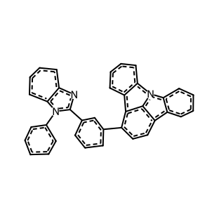 c1ccc(-n2c(-c3cccc(-c4ccc5c6ccccc6n6c7ccccc7c4c56)c3)nc3ccccc32)cc1